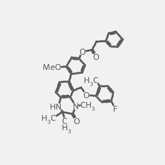 COc1cc(OC(=O)Cc2ccccc2)ccc1-c1ccc2c(c1COc1cc(F)ccc1C)N(C)C(=O)C(C)(C)N2